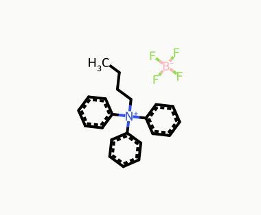 CCCC[N+](c1ccccc1)(c1ccccc1)c1ccccc1.F[B-](F)(F)F